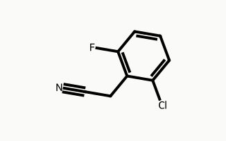 N#CCc1c(F)cccc1Cl